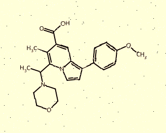 COc1ccc(-c2ccn3c(C(C)N4CCOCC4)c(C)c(C(=O)O)cc23)cc1